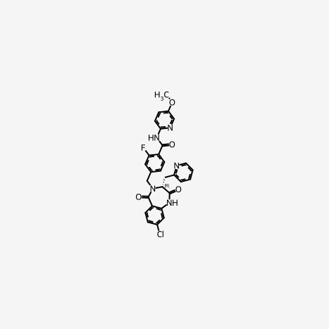 COc1ccc(NC(=O)c2ccc(CN3C(=O)c4ccc(Cl)cc4NC(=O)[C@H]3Cc3ccccn3)cc2F)nc1